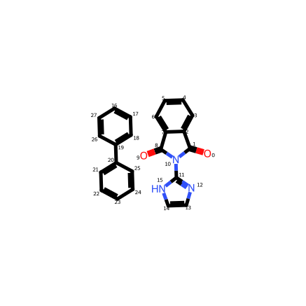 O=C1c2ccccc2C(=O)N1c1ncc[nH]1.c1ccc(-c2ccccc2)cc1